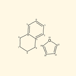 c1ccc2c(c1)CCCC2.c1ccoc1